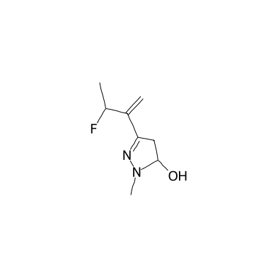 C=C(C1=NN(C)C(O)C1)C(C)F